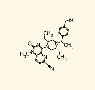 CCC1CN(C(C)c2ccc(CBr)cc2)[C@H](CC)CN1c1nc(=O)n(C)c2ccc(C#N)nc12